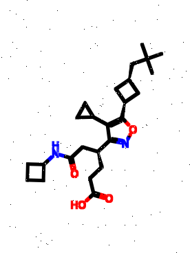 CC(C)(C)C[C@H]1C[C@@H](c2onc([C@@H](CCC(=O)O)CC(=O)NC3CCC3)c2C2CC2)C1